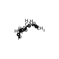 Cc1cc(NCC(=O)N2CCN(C)CC2)ccc1CCS(=O)(=O)N1CCC2(CC1)N=C(c1cccc(OF)c1)NC2=O